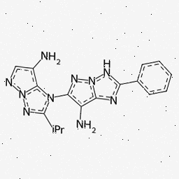 CC(C)c1nn2ncc(N)c2n1-c1nn2[nH]c(-c3ccccc3)nc2c1N